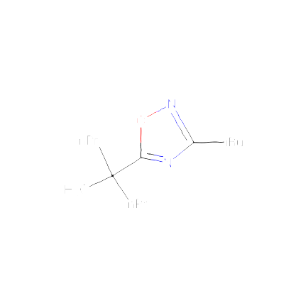 CCCC(C)(CCC)c1nc(C(C)CC)no1